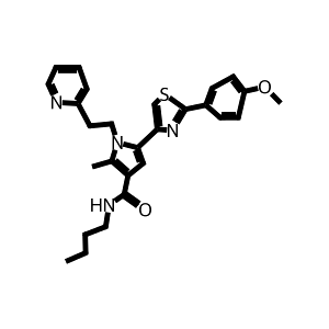 CCCCNC(=O)c1cc(-c2csc(-c3ccc(OC)cc3)n2)n(CCc2ccccn2)c1C